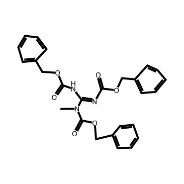 CN(C(=O)OCc1ccccc1)C(=NC(=O)OCc1ccccc1)NC(=O)OCc1ccccc1